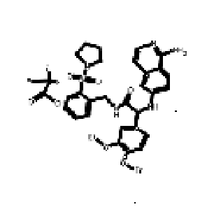 CCOc1cc(C(Nc2ccc3c(N)nccc3c2)C(=O)NCc2ccccc2S(=O)(=O)N2CCCC2)ccc1OC(C)C.O=C(O)C(F)(F)F